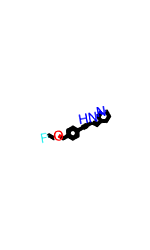 FCCOCc1ccc(C#CC2=CC3CCCN=C3N2)cc1